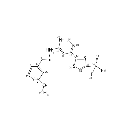 COc1cccc(CCNc2cc(-c3cc(C(F)(F)F)cs3)ncn2)c1